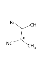 CC(Br)[C@H](C)C#N